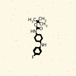 CC(C)(C)OC(=O)NC1CCC(Nc2ccc(F)cc2)CC1